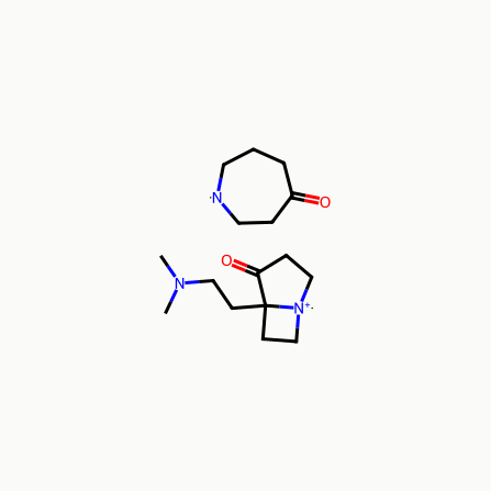 CN(C)CCC12CC[N+]1CCC2=O.O=C1CCC[N]CC1